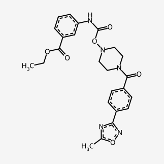 CCOC(=O)c1cccc(NC(=O)ON2CCN(C(=O)c3ccc(-c4noc(C)n4)cc3)CC2)c1